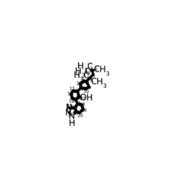 CC(C)(C)CC(C)(C)c1ccc(-c2cccc(-c3cccc4[nH]nnc34)c2O)cc1